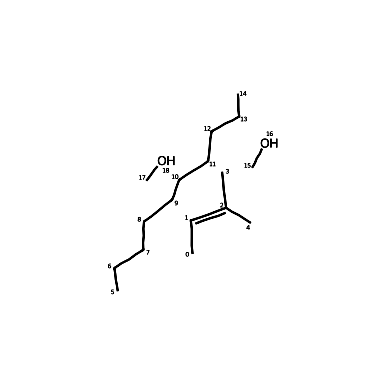 CC=C(C)C.CCCCCCCCCC.CO.CO